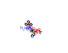 CCC(CC)C(=O)OC(C)OC(=O)C1=C(/C=C\c2cccnc2)CS[C@@H]2[C@H](NC(=O)/C(=N/OC(c3ccccc3)(c3ccccc3)c3ccccc3)c3csc(N)n3)C(=O)N12